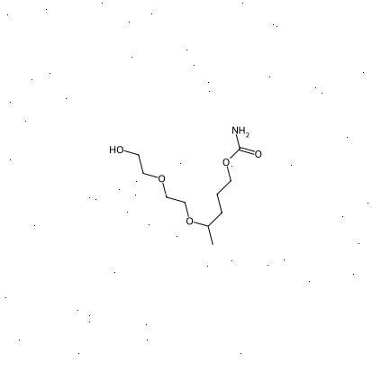 CC(CCCOC(N)=O)OCCOCCO